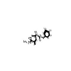 C=C(CC(C)NC(=O)OCc1ccccc1)C(N)=O